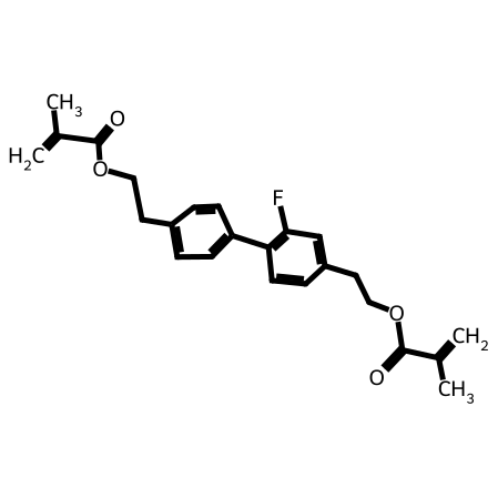 C=C(C)C(=O)OCCc1ccc(-c2ccc(CCOC(=O)C(=C)C)cc2F)cc1